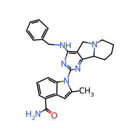 Cc1cc2c(C(N)=O)cccc2n1-c1nc(NCc2ccccc2)c2c(n1)C1CCCCN1C2